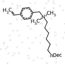 C=Cc1ccc(C[N+](C)(C)CCCCCCCCCCCCCCCC)cc1